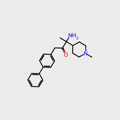 CN1CCC(C(C)(N)C(=O)Cc2ccc(-c3ccccc3)cc2)CC1